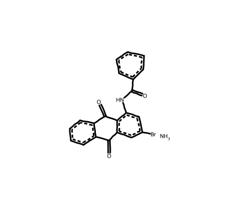 N.O=C(Nc1cc(Br)cc2c1C(=O)c1ccccc1C2=O)c1ccccc1